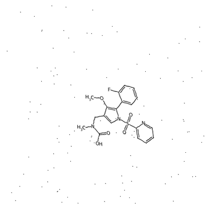 COc1c(CN(C)C(=O)O)cn(S(=O)(=O)c2ccccn2)c1-c1ccccc1F